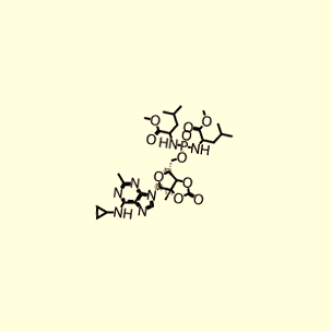 COC(=O)C(CC(C)C)NP(=O)(NC(CC(C)C)C(=O)OC)OC[C@H]1O[C@@H](n2cnc3c(NC4CC4)nc(C)nc32)[C@@]2(C)OC(=O)OC12